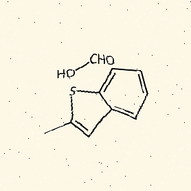 Cc1cc2ccccc2s1.O=CO